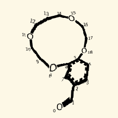 O=Cc1ccc2c(c1)OCCOCCCOCCO2